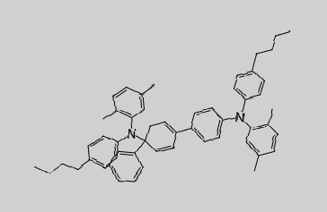 CCCCc1ccc(N(c2ccc(C3=CCC(c4ccccc4)(N(c4ccc(CCCC)cc4)c4cc(C)ccc4C)C=C3)cc2)c2cc(C)ccc2C)cc1